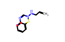 C=CCNN1C=NC23CC=NC=C2C=CC=C3S1